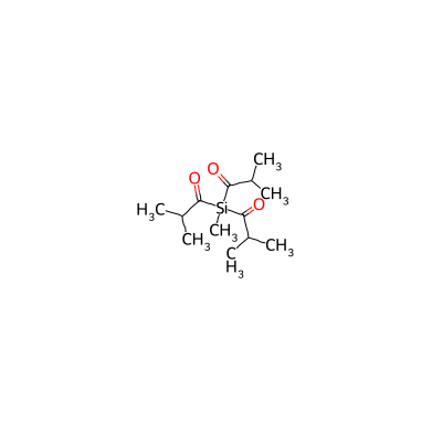 CC(C)C(=O)[Si](C)(C(=O)C(C)C)C(=O)C(C)C